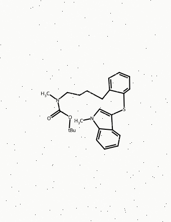 CN(CCCCc1ccccc1Sc1cn(C)c2ccccc12)C(=O)OC(C)(C)C